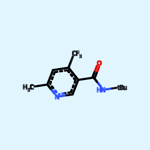 Cc1cc(C(F)(F)F)c(C(=O)NC(C)(C)C)cn1